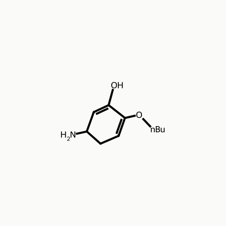 CCCCOC1=CCC(N)C=C1O